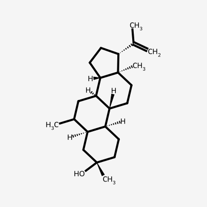 C=C(C)[C@H]1CC[C@H]2[C@@H]3CC(C)[C@@H]4C[C@@](C)(O)CC[C@@H]4[C@H]3CC[C@]12C